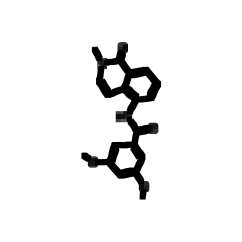 COc1cc(OC)cc(C(=O)Nc2cccc3c(=O)n(C)ccc23)c1